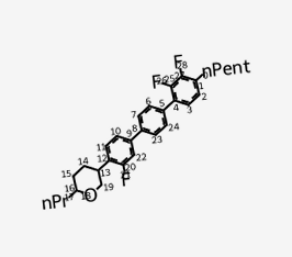 CCCCCc1ccc(-c2ccc(-c3ccc(C4CCC(CCC)OC4)c(F)c3)cc2)c(F)c1F